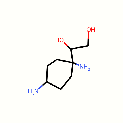 NC1CCC(N)(C(O)CO)CC1